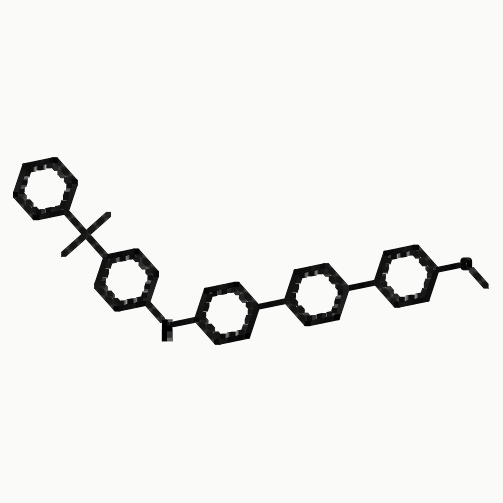 COc1ccc(-c2ccc(-c3ccc(Nc4ccc(C(C)(C)c5ccccc5)cc4)cc3)cc2)cc1